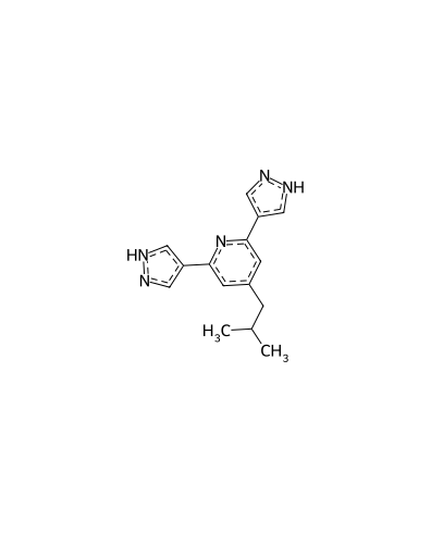 CC(C)Cc1cc(-c2cn[nH]c2)nc(-c2cn[nH]c2)c1